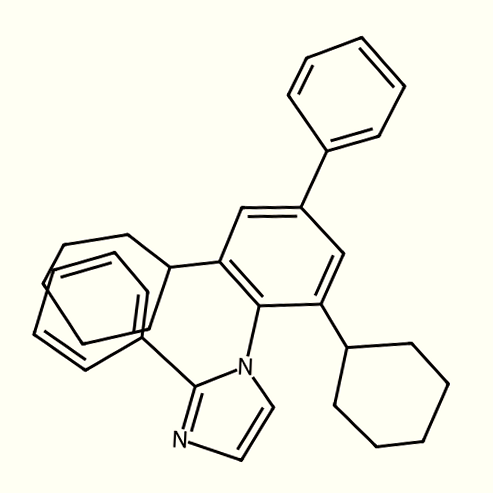 c1ccc(-c2cc(C3CCCCC3)c(-n3ccnc3-c3ccccc3)c(C3CCCCC3)c2)cc1